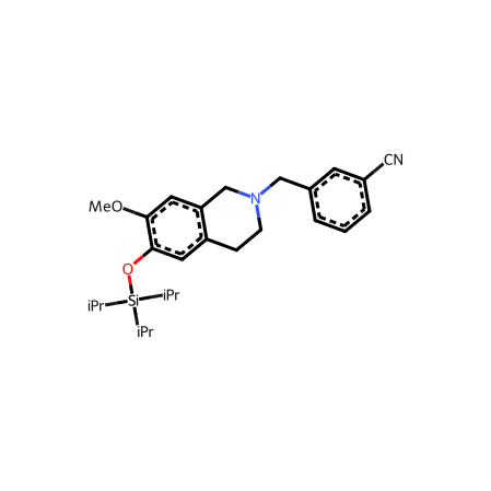 COc1cc2c(cc1O[Si](C(C)C)(C(C)C)C(C)C)CCN(Cc1cccc(C#N)c1)C2